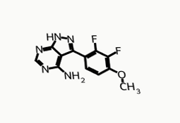 COc1ccc(-c2n[nH]c3ncnc(N)c23)c(F)c1F